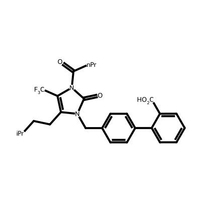 CCCC(=O)n1c(C(F)(F)F)c(CCC(C)C)n(Cc2ccc(-c3ccccc3C(=O)O)cc2)c1=O